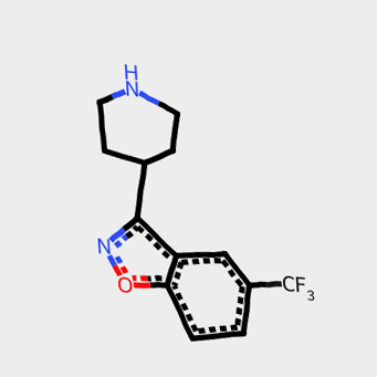 FC(F)(F)c1ccc2onc(C3CCNCC3)c2c1